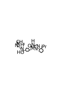 CC(C)c1ccccc1-c1ncc2[nH]c(=O)n(Cc3ccc(C(O)NCc4cnn(C)c4)cc3)c2n1